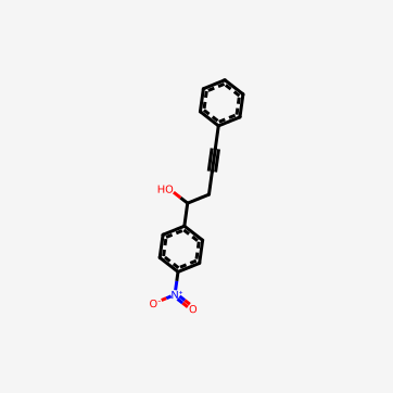 O=[N+]([O-])c1ccc(C(O)CC#Cc2ccccc2)cc1